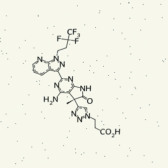 C[C@]1(c2cn(CCC(=O)O)nn2)C(=O)Nc2nc(-c3nn(CCC(F)(F)C(F)(F)F)c4ncccc34)nc(N)c21